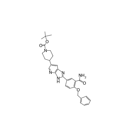 CC(C)(C)OC(=O)N1CCC(c2cnc3[nH]c(-c4ccc(OCc5ccccc5)c(C(N)=O)c4)nc3c2)CC1